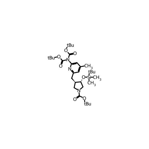 Cc1cc(C[C@@H]2CN(C(=O)OC(C)(C)C)C[C@H]2O[Si](C)(C)C(C)(C)C)nc(N(C(=O)OC(C)(C)C)C(=O)OC(C)(C)C)c1